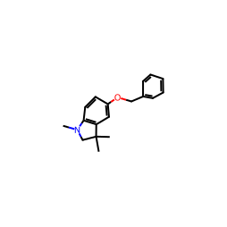 CN1CC(C)(C)c2cc(OCc3ccccc3)ccc21